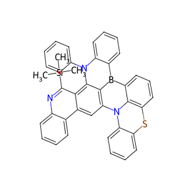 C[Si](C)(C)c1nc2ccccc2c2cc3c4c(c12)N(c1ccccc1)c1ccccc1B4c1cccc2c1N3c1ccccc1S2